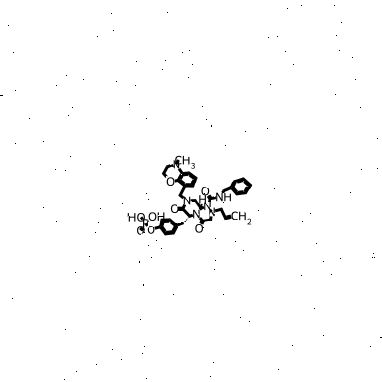 C=CCN1CC(=O)N2[C@H](Cc3ccc(OP(=O)(O)O)cc3)C(=O)N(Cc3cccc4c3OCCN4C)C[C@@H]2N1C(=O)NCc1ccccc1